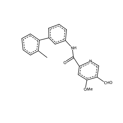 COc1cc(C(=O)Nc2cccc(-c3ccccc3C)c2)ncc1C=O